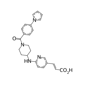 O=C(O)C=Cc1ccc(NC2CCN(C(=O)c3ccc(-n4cccc4)cc3)CC2)nc1